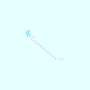 COCCOCCOCCOCCOCCOCCOCCOCCOCCOCCOCC(O)CC(F)(F)C(F)(F)C(F)(F)C(F)(F)C(F)(F)C(F)(F)F